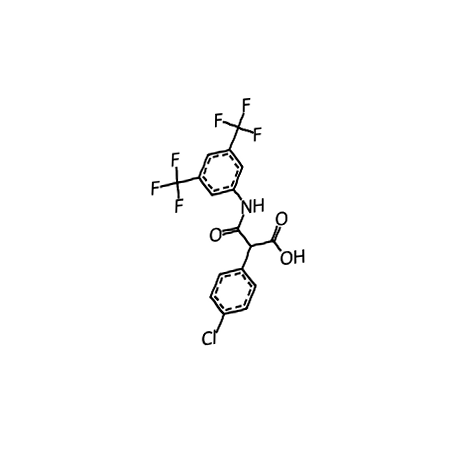 O=C(O)C(C(=O)Nc1cc(C(F)(F)F)cc(C(F)(F)F)c1)c1ccc(Cl)cc1